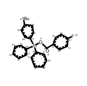 CC(C)(C)c1ccc(S(OC(=O)c2ccc(F)cc2)(c2ccccc2)c2ccccc2)cc1